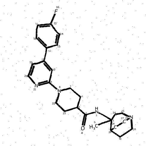 CC1(NC(=O)C2CCN(c3cc(-c4ccc(F)cc4)ccn3)CC2)CCN2CCC1CC2